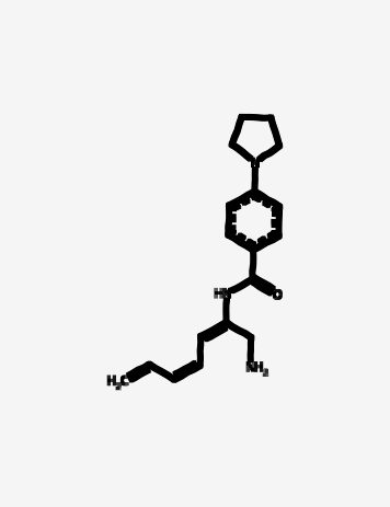 C=C/C=C\C=C(/CN)NC(=O)c1ccc(N2CCCC2)cc1